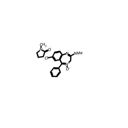 CN1CCCC1=O.CNC1=Nc2ccc(Cl)cc2C(c2ccccc2)=[N+]([O-])C1